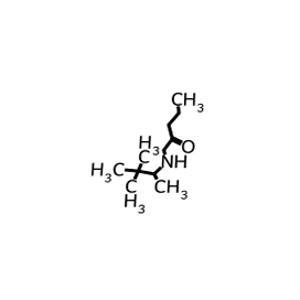 CCCC(=O)CNC(C)C(C)(C)C